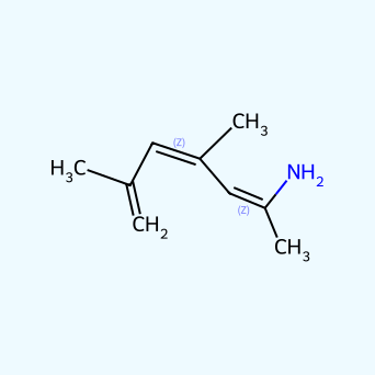 C=C(C)/C=C(C)\C=C(\C)N